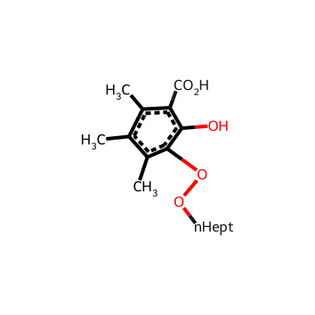 CCCCCCCOOc1c(C)c(C)c(C)c(C(=O)O)c1O